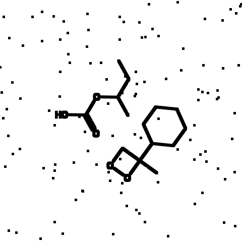 CC1(C2CCCCC2)COO1.CCC(C)OC(=O)O